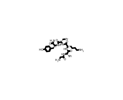 CC(C)C[C@H](NC(=O)[C@H](CCCCN)NC(=O)[C@@H](NC(=O)CN)C(C)C)C(=O)N[C@@H](Cc1ccc(O)cc1)C(N)=O